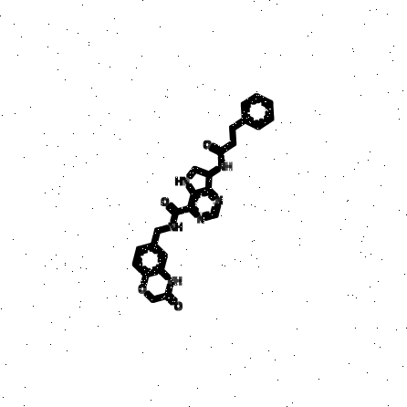 O=C1COc2ccc(CNC(=O)c3ncnc4c3NCC4NC(=O)CCc3ccccc3)cc2N1